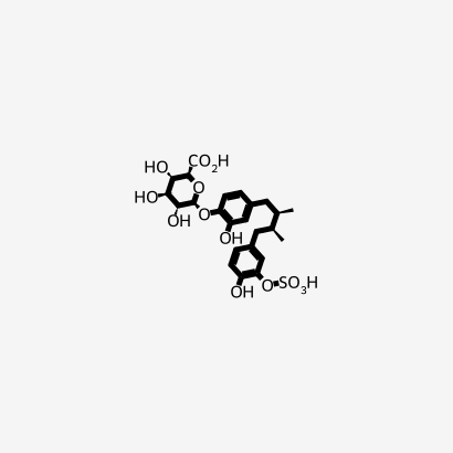 C[C@H](Cc1ccc(O[C@@H]2O[C@H](C(=O)O)[C@@H](O)[C@H](O)[C@H]2O)c(O)c1)[C@@H](C)Cc1ccc(O)c(OS(=O)(=O)O)c1